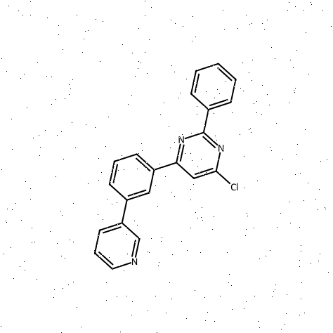 Clc1cc(-c2cccc(-c3cccnc3)c2)nc(-c2ccccc2)n1